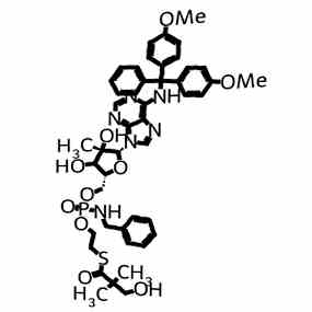 COc1ccc(C(Nc2ncnc3c2ncn3[C@@H]2O[C@H](COP(=O)(NCc3ccccc3)OCCSC(=O)C(C)(C)CO)C(O)[C@]2(C)O)(c2ccccc2)c2ccc(OC)cc2)cc1